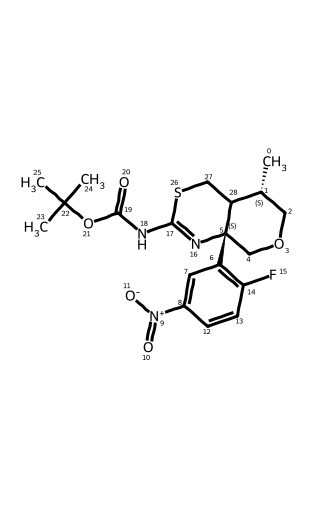 C[C@@H]1COC[C@]2(c3cc([N+](=O)[O-])ccc3F)N=C(NC(=O)OC(C)(C)C)SCC12